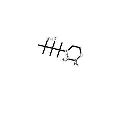 CCCC(C)C(C)(C)C(C)(C)C(C)(C)[SiH]1CCO[SiH2][SiH2]1